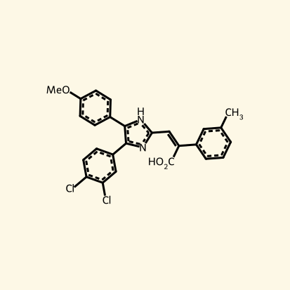 COc1ccc(-c2[nH]c(/C=C(\C(=O)O)c3cccc(C)c3)nc2-c2ccc(Cl)c(Cl)c2)cc1